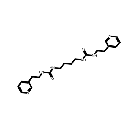 O=C(NCCCCNC(=O)NCCc1cccnc1)NCCc1cccnc1